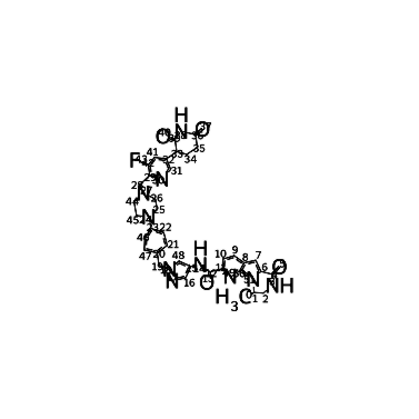 C[C@@H]1CNC(=O)c2cc3ccc(C(=O)Nc4cnn(Cc5ccc(N6CCN(Cc7ncc(C8CCC(=O)NC8=O)cc7F)CC6)cc5)c4)nc3n21